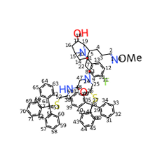 CON=CCCC1C(c2ccc(F)cc2)CC2CC(O)C1N2CCCN(CCSC(c1ccccc1)(c1ccccc1)c1ccccc1)CC(=O)NCCSC(c1ccccc1)(c1ccccc1)c1ccccc1